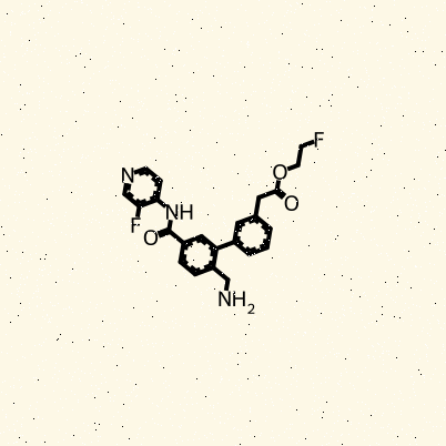 NCc1ccc(C(=O)Nc2ccncc2F)cc1-c1cccc(CC(=O)OCCF)c1